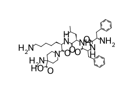 CC(C)C[C@@H](NC(=O)C(Cc1ccccc1)NC(=O)[C@H](N)Cc1ccccc1)C(=O)N[C@H](CCCCCN)C(=O)N1CCC(N)(C(=O)O)CC1